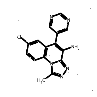 Cc1nnc2c(N)c(-c3cncnc3)c3cc(Cl)ccc3n12